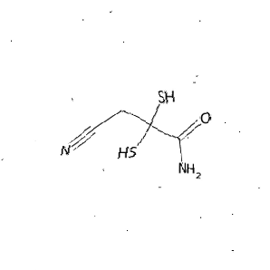 N#CCC(S)(S)C(N)=O